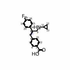 O=C(O)c1ccc(/C=C(\CNC2CC2)c2ccc(F)cc2)cc1